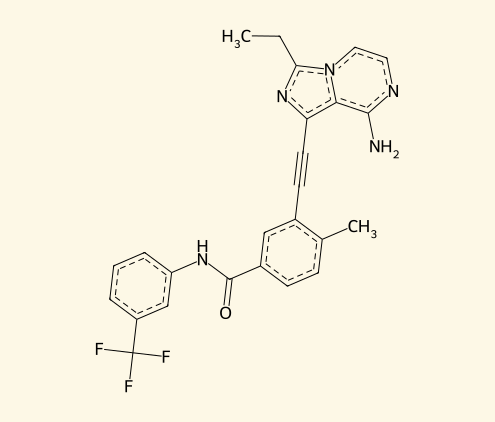 CCc1nc(C#Cc2cc(C(=O)Nc3cccc(C(F)(F)F)c3)ccc2C)c2c(N)nccn12